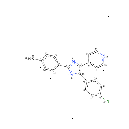 CSc1ccc(-c2nc(-c3ccncc3)c(-c3ccc(Cl)cc3)[nH]2)cc1